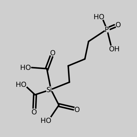 O=C(O)[Si](CCCCP(=O)(O)O)(C(=O)O)C(=O)O